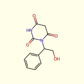 O=C1CC(=O)N(C(CO)c2ccccc2)C(=O)N1